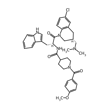 COc1ccc(C(=O)N2CCC(C(=O)N[C@H](Cc3c[nH]c4ccccc34)C(=O)N3C[C@@H](CN(C)C)Cc4cc(Cl)ccc43)CC2)cc1